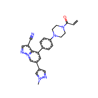 C=CC(=O)N1CCN(c2ccc(-c3cc(-c4cnn(C)c4)cn4ncc(C#N)c34)cc2)CC1